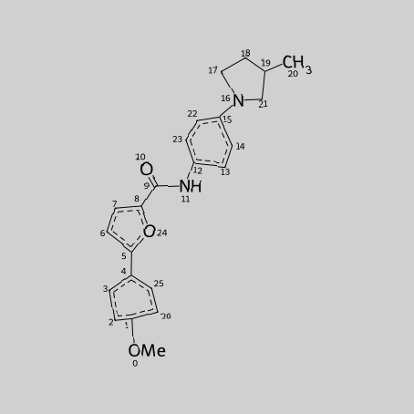 COc1ccc(-c2ccc(C(=O)Nc3ccc(N4CCC(C)C4)cc3)o2)cc1